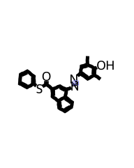 Cc1cc(/N=N/c2cc(C(=O)Sc3ccccc3)cc3ccccc23)cc(C)c1O